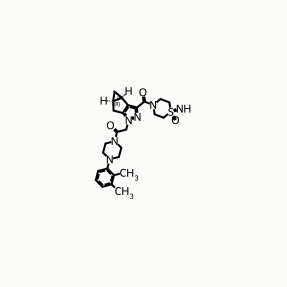 Cc1cccc(N2CCN(C(=O)Cn3nc(C(=O)N4CCS(=N)(=O)CC4)c4c3C[C@H]3C[C@@H]43)CC2)c1C